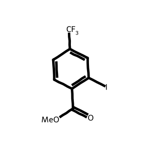 COC(=O)c1ccc(C(F)(F)F)cc1I